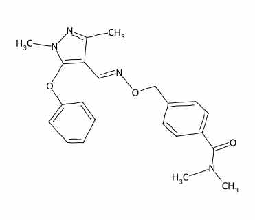 Cc1nn(C)c(Oc2ccccc2)c1C=NOCc1ccc(C(=O)N(C)C)cc1